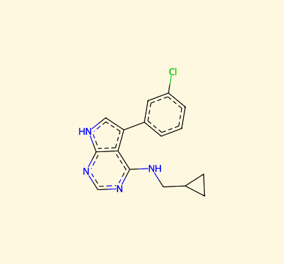 Clc1cccc(-c2c[nH]c3ncnc(NCC4CC4)c23)c1